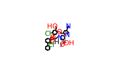 CC1(Cl)C(c2ccccc2)=CC=CC1(COc1cc(OCc2cncc(C#N)c2)c(CO)cc1Cl)OCCCN1CCC[C@H](C(=O)O)C1